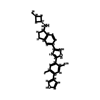 Cc1cc(-c2nc(-c3ccc4c(c3)CCC4N[C@H]3C[C@H](C)C3)no2)c(F)cc1-c1ccoc1